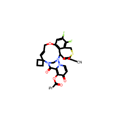 CC(C)C(=O)Oc1c2n(ccc1=O)N1CN(C2=O)C2(/C=C/COc3cc(F)c(F)c4c3C1c1cccc(C#N)c1SC4)CCC2